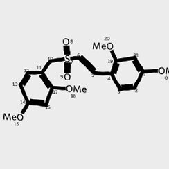 COc1ccc(C=CS(=O)(=O)Cc2ccc(OC)cc2OC)c(OC)c1